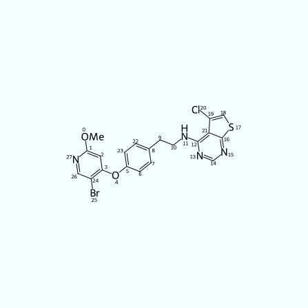 COc1cc(Oc2ccc(CCNc3ncnc4scc(Cl)c34)cc2)c(Br)cn1